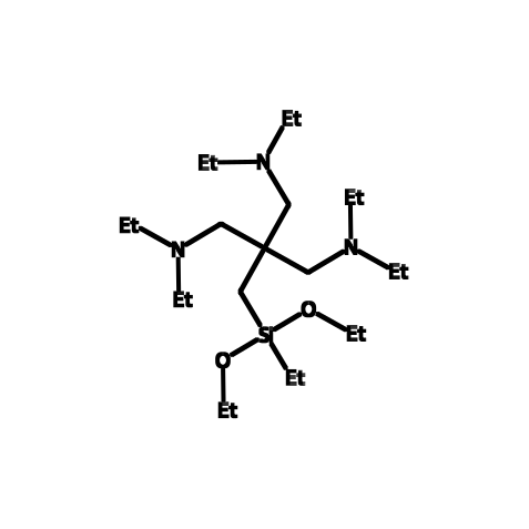 CCO[Si](CC)(CC(CN(CC)CC)(CN(CC)CC)CN(CC)CC)OCC